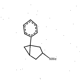 CNC1CC2CC2(c2ccccc2)C1